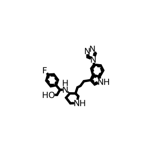 OCC(N[C@@H]1CCNCC1CCCc1c[nH]c2ccc(-n3cnnc3)cc12)c1ccc(F)cc1